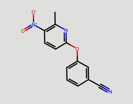 Cc1nc(Oc2cccc(C#N)c2)ccc1[N+](=O)[O-]